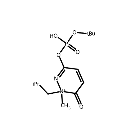 CC(C)C[N+]1(C)N=C(OP(=O)(O)OC(C)(C)C)C=CC1=O